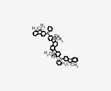 CC1(C)c2ccccc2-c2ccc(N(c3ccccc3)c3ccc4c(c3)[Si](C)(C)c3ccc5c6c(ccc5c3-4)[Si](C)(C)c3cc(N(c4ccccc4)c4ccc5c(c4)C(C)(C)c4ccccc4-5)ccc3-6)cc21